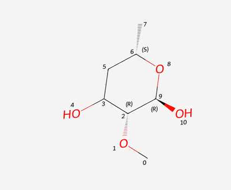 CO[C@@H]1C(O)C[C@H](C)O[C@H]1O